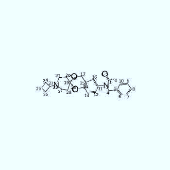 CC(=O)N(Cc1ccccc1)c1ccc2c(c1)COC1(CCN(C3CCC3)CC1)O2